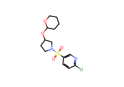 O=S(=O)(c1ccc(Cl)nc1)N1CCC(OC2CCCCO2)C1